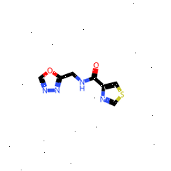 O=C(NCc1nnco1)c1cscn1